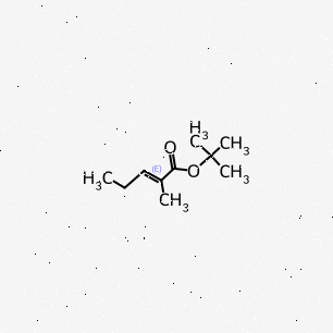 CC/C=C(\C)C(=O)OC(C)(C)C